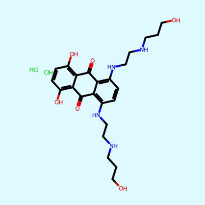 Cl.Cl.O=C1c2c(O)ccc(O)c2C(=O)c2c(NCCNCCCO)ccc(NCCNCCCO)c21